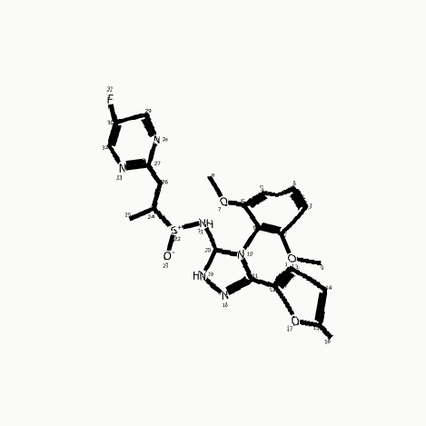 COc1cccc(OC)c1N1C(c2ccc(C)o2)=NNC1N[S+]([O-])C(C)Cc1ncc(F)cn1